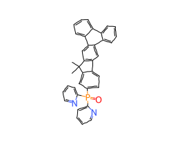 CC1(C)c2cc(P(=O)(c3ccccn3)c3ccccn3)ccc2-c2cc3c4ccccc4c4ccccc4c3cc21